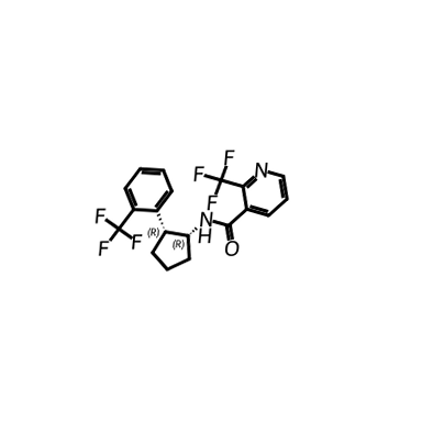 O=C(N[C@@H]1CCC[C@@H]1c1ccccc1C(F)(F)F)c1cccnc1C(F)(F)F